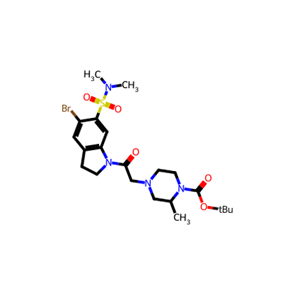 CC1CN(CC(=O)N2CCc3cc(Br)c(S(=O)(=O)N(C)C)cc32)CCN1C(=O)OC(C)(C)C